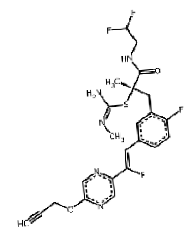 C#CCOc1cnc(/C(F)=C/c2ccc(F)c(C[C@](C)(S/C(N)=N\C)C(=O)NCC(F)F)c2)cn1